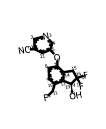 N#Cc1cncc(Oc2ccc(CF)c3c2CC(F)(F)[C@H]3O)c1